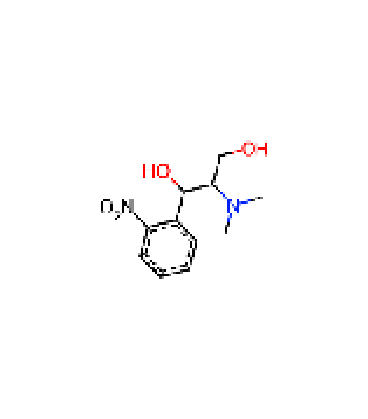 CN(C)C(CO)C(O)c1ccccc1[N+](=O)[O-]